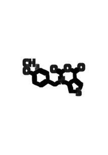 COc1ccc(Cn2c(=O)oc(=O)c3cscc32)cc1